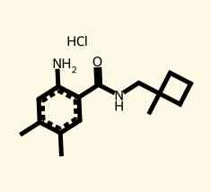 Cc1cc(N)c(C(=O)NCC2(C)CCC2)cc1C.Cl